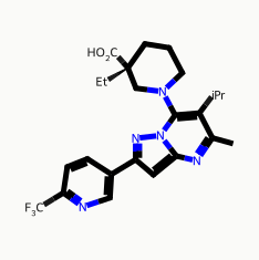 CC[C@@]1(C(=O)O)CCCN(c2c(C(C)C)c(C)nc3cc(-c4ccc(C(F)(F)F)nc4)nn23)C1